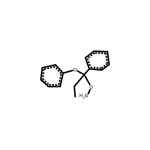 CCC(O[SiH3])(Oc1ccccc1)c1ccccc1